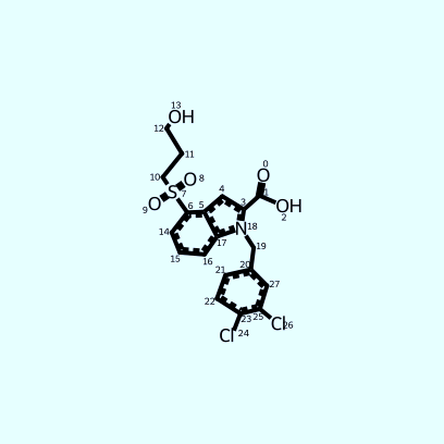 O=C(O)c1cc2c(S(=O)(=O)CCCO)cccc2n1Cc1ccc(Cl)c(Cl)c1